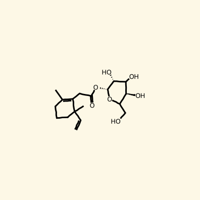 C=CC1(C)CCCC(C)=C1CC(=O)O[C@H]1OC(CO)[C@H](O)C(O)[C@H]1O